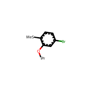 CSc1ccc(Br)cc1OC(C)C